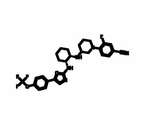 N#Cc1ccc(N2CCCC(N[C@@H]3CCCC[C@H]3Nc3ncc(-c4ccc(OC(F)(F)F)cc4)o3)C2)c(F)c1